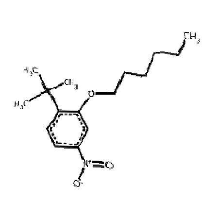 CCCCCCOc1cc([N+](=O)[O-])ccc1C(C)(C)C